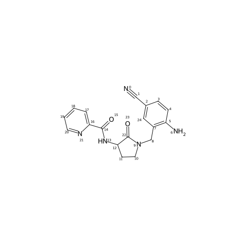 N#Cc1ccc(N)c(CN2CCC(NC(=O)c3ccccn3)C2=O)c1